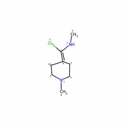 CNC(Cl)=C1CCN(C)CC1